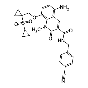 Cn1c(=O)c(C(=O)NCc2ccc(C#N)cc2)cc2c(N)ccc(OCC3(S(=O)(=O)C4CC4)CC3)c21